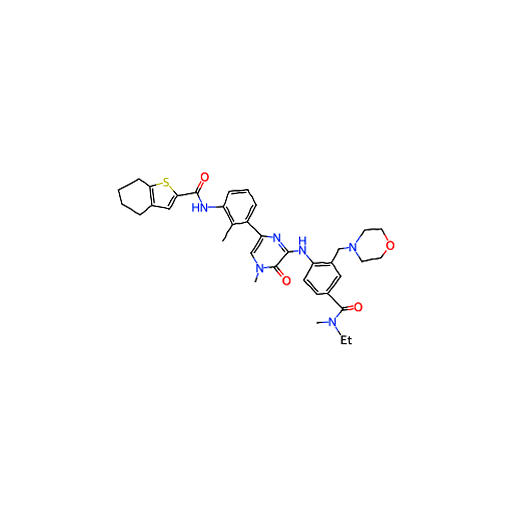 CCN(C)C(=O)c1ccc(Nc2nc(-c3cccc(NC(=O)c4cc5c(s4)CCCC5)c3C)cn(C)c2=O)c(CN2CCOCC2)c1